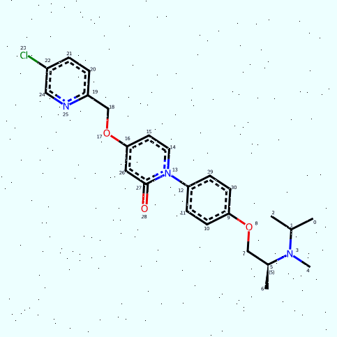 CC(C)N(C)[C@@H](C)COc1ccc(-n2ccc(OCc3ccc(Cl)cn3)cc2=O)cc1